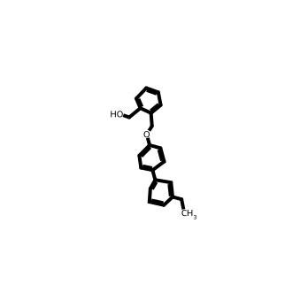 CCc1cccc(-c2ccc(OCc3ccccc3CO)cc2)c1